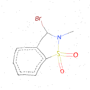 CN1C(Br)c2ccccc2S1(=O)=O